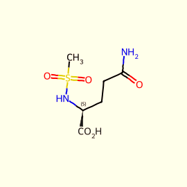 CS(=O)(=O)N[C@@H](CCC(N)=O)C(=O)O